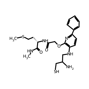 CNC(=O)[C@H](CCSC)NC(=O)COc1nc(-c2ccccc2)ccc1NCC(N)CS